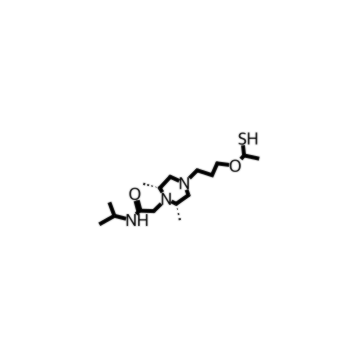 CC(C)NC(=O)CN1[C@H](C)CN(CCCOC(C)S)C[C@@H]1C